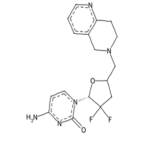 Nc1ccn([C@@H]2OC(CN3CCc4ncccc4C3)CC2(F)F)c(=O)n1